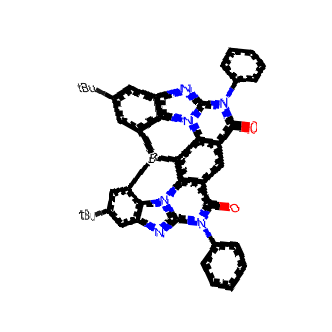 CC(C)(C)c1cc2c3c(c1)nc1n(-c4ccccc4)c(=O)c4cc5c(=O)n(-c6ccccc6)c6nc7cc(C(C)(C)C)cc8c7n6c5c(c4n31)B28